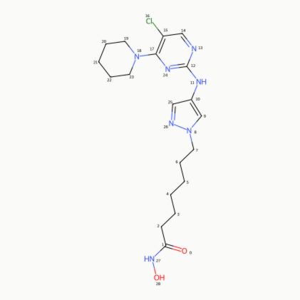 O=C(CCCCCCn1cc(Nc2ncc(Cl)c(N3CCCCC3)n2)cn1)NO